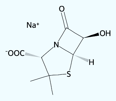 CC1(C)S[C@@H]2[C@H](O)C(=O)N2[C@H]1C(=O)[O-].[Na+]